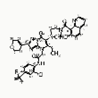 CCc1c(N2CCN(C(=O)c3c(O)ccc4cccnc34)CC2)c(=O)n2nc(C3=CCOCC3)nc2n1CC(=O)Nc1ccc(C(F)(F)F)cc1Cl